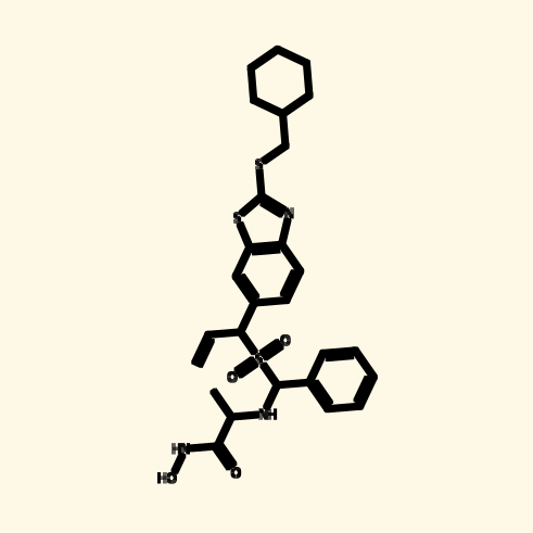 C=CC(c1ccc2nc(SCC3CCCCC3)sc2c1)S(=O)(=O)C(NC(C)C(=O)NO)c1ccccc1